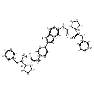 O=C(Nc1cnc2[nH]c(-c3ccc(NC(=O)[C@@H]4CCCN4C(O)Cc4ccccc4)cc3)cc2c1)[C@@H]1CCCN1C(=O)Cc1ccccc1